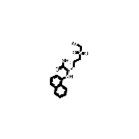 CC(=O)CS(=O)(=O)CCC[C@H](Nc1cccc2ccccc12)C(N)=O